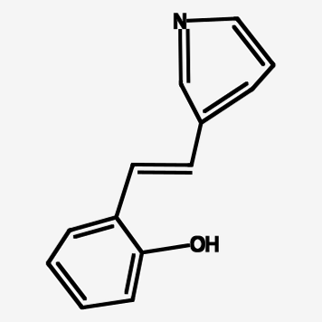 Oc1ccccc1C=Cc1cccnc1